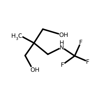 CC(CO)(CO)CNC(F)(F)F